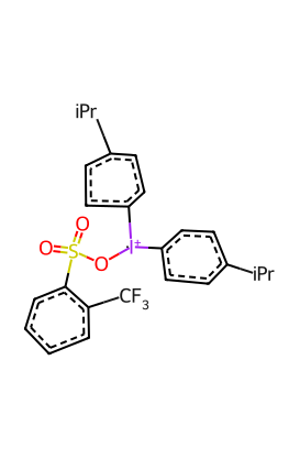 CC(C)c1ccc([I+](OS(=O)(=O)c2ccccc2C(F)(F)F)c2ccc(C(C)C)cc2)cc1